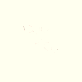 C[C@H]1CC(O)(c2ccc(C(F)(F)F)cc2)C[C@@H](c2ccncc2)N1